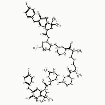 C[C@@H]1CN(CC(=O)N2CC(C)(C)c3[nH]c(=O)c(Cc4ccc(F)cc4)cc32)[C@@H](CN2CCO[C@H](C(=O)N(C)CCCCN(C)C(=O)[C@@H]3CN(C[C@H]4CN[C@H](C)CN4CC(=O)N4CC(C)(C)c5[nH]c(=O)c(Cc6ccc(F)cc6)cc54)CCO3)C2)CN1